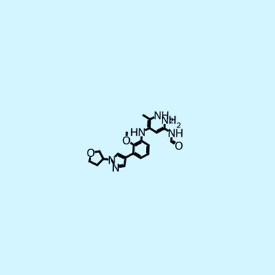 COc1c(NC(/C=C(\N)NC=O)=C(\C)N)cccc1-c1cnn(C2CCOC2)c1